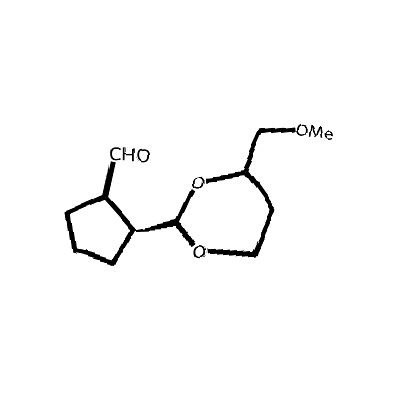 COCC1CCOC([C@H]2CCCC2C=O)O1